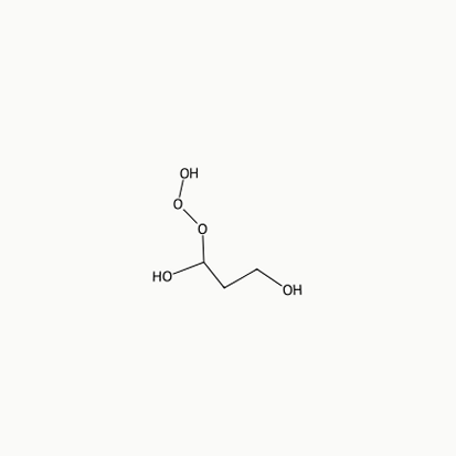 OCCC(O)OOO